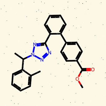 COC(=O)c1ccc(-c2ccccc2-c2nnn(C(C)c3ccccc3C)n2)cc1